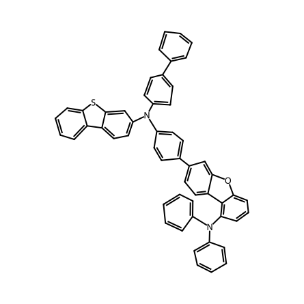 c1ccc(-c2ccc(N(c3ccc(-c4ccc5c(c4)oc4cccc(N(c6ccccc6)c6ccccc6)c45)cc3)c3ccc4c(c3)sc3ccccc34)cc2)cc1